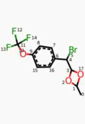 CC1OC(C(Br)c2ccc(OC(F)(F)F)cc2)O1